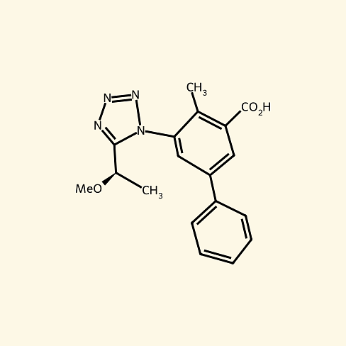 CO[C@H](C)c1nnnn1-c1cc(-c2ccccc2)cc(C(=O)O)c1C